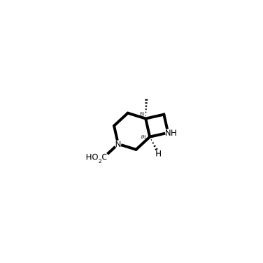 C[C@@]12CCN(C(=O)O)C[C@@H]1NC2